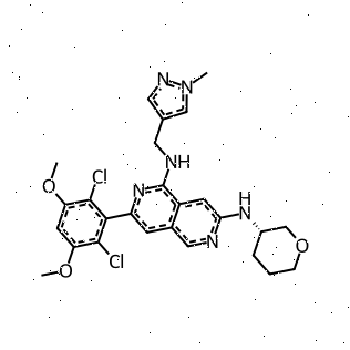 COc1cc(OC)c(Cl)c(-c2cc3cnc(N[C@H]4CCCOC4)cc3c(NCc3cnn(C)c3)n2)c1Cl